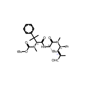 C/C(C=O)=C\[C@H](C(C)C)N(C)C(=O)[C@@H](NC(=O)[C@@H](N(C)C(=O)OC(C)(C)C)C(C)(C)c1ccccc1)C(C)(C)C